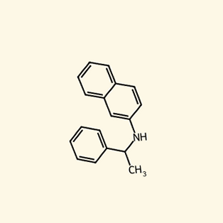 CC(Nc1ccc2ccccc2c1)c1ccccc1